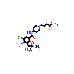 CC(=O)CCCN1CCC(NC(=O)c2cc(Cl)c(N)c3c2OC(C)(C)C3)CC1